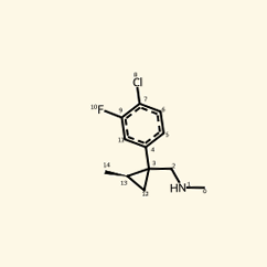 CNCC1(c2ccc(Cl)c(F)c2)C[C@H]1C